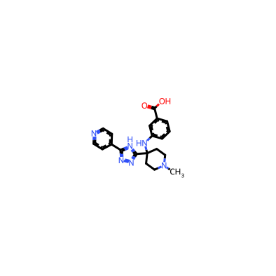 CN1CCC(Nc2cccc(C(=O)O)c2)(c2nnc(-c3ccncc3)[nH]2)CC1